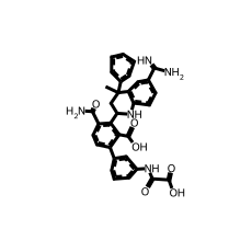 CC1(c2ccccc2)CC(c2c(C(N)=O)ccc(-c3cccc(NC(=O)C(=O)O)c3)c2C(=O)O)Nc2ccc(C(=N)N)cc21